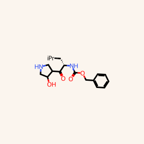 CC(C)C[C@H](NC(=O)OCc1ccccc1)C(=O)C1CNCC1O